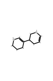 [C]1=C(C2CC=COC2)CCCO1